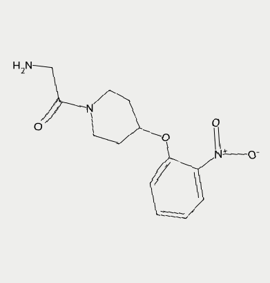 NCC(=O)N1CCC(Oc2ccccc2[N+](=O)[O-])CC1